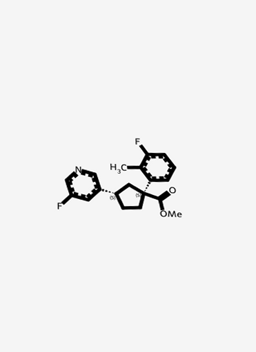 COC(=O)[C@@]1(c2cccc(F)c2C)CC[C@H](c2cncc(F)c2)C1